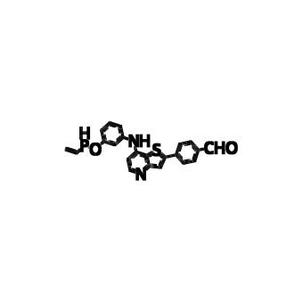 C=CPOc1cccc(Nc2ccnc3cc(-c4ccc(C=O)cc4)sc23)c1